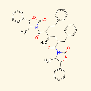 C=C(C[C@H](Cc1ccccc1)C(=O)N1C(=O)OC(c2ccccc2)C1C)[C@@H](CCc1ccccc1)C(=O)N1C(=O)O[C@@H](c2ccccc2)[C@H]1C